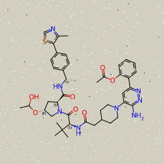 CC(=O)Oc1ccccc1-c1cc(N2CCC(CC(=O)N[C@H](C(=O)N3C[C@H](OC(C)O)C[C@H]3C(=O)N[C@@H](C)c3ccc(-c4scnc4C)cc3)C(C)(C)C)CC2)c(N)nn1